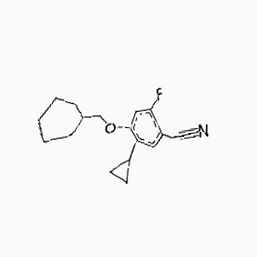 N#Cc1cc(C2CC2)c(OCC2CCCCC2)cc1F